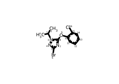 CC(C)n1nc(Br)nc1Oc1ccccc1Cl